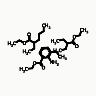 CCCCC(CC)C(=O)OCC.CCOC(=O)C(CC)CC.CCOC(=O)c1cccc(CC)c1N